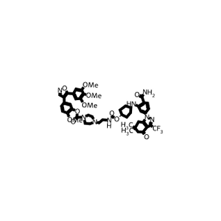 COc1ccc(-c2cnoc2-c2cc(OC)c(OC)c(OC)c2)cc1OC(=O)N1CCN(CCNC(=O)O[C@H]2CC[C@H](Nc3cc(-n4nc(C(F)(F)F)c5c4CC(C)(C)CC5=O)ccc3C(N)=O)CC2)CC1